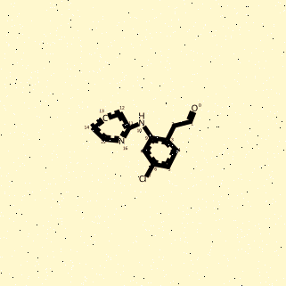 O=CCc1ccc(Cl)cc1Nc1ccccn1